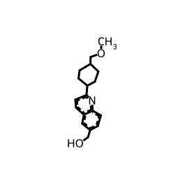 COCC1CCC(c2ccc3cc(CO)ccc3n2)CC1